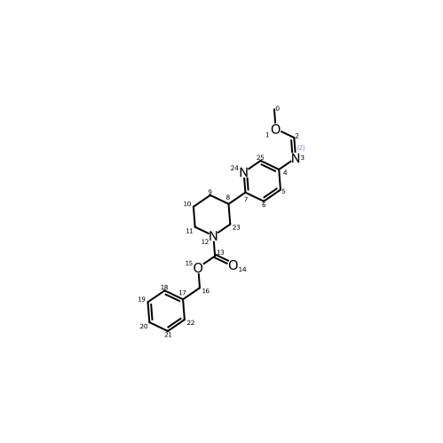 CO/C=N\c1ccc(C2CCCN(C(=O)OCc3ccccc3)C2)nc1